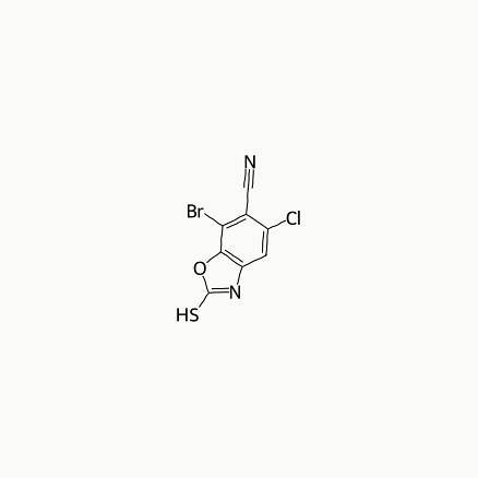 N#Cc1c(Cl)cc2nc(S)oc2c1Br